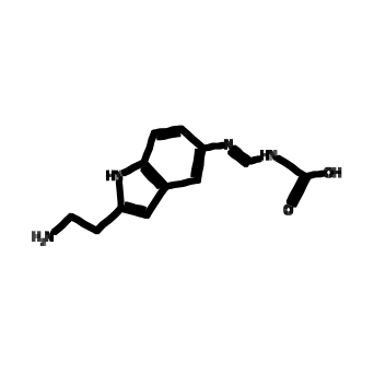 NCCc1cc2cc(N=CNC(=O)O)ccc2[nH]1